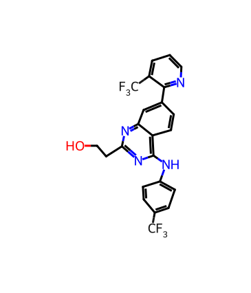 OCCc1nc(Nc2ccc(C(F)(F)F)cc2)c2ccc(-c3ncccc3C(F)(F)F)cc2n1